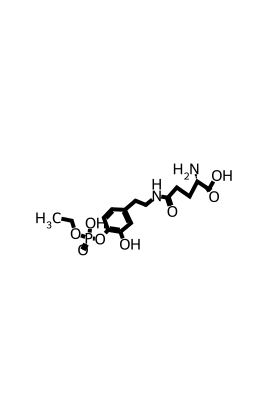 CCOP(=O)(O)Oc1ccc(CCNC(=O)CC[C@H](N)C(=O)O)cc1O